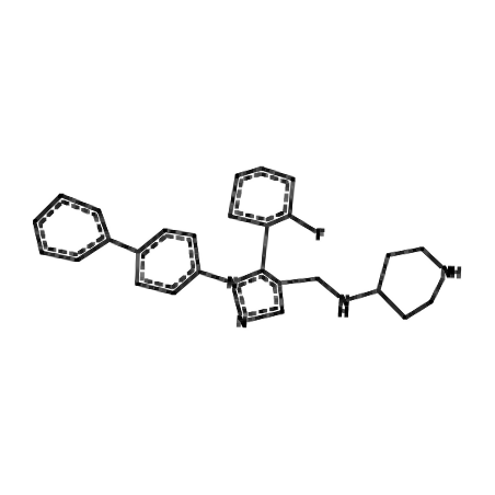 Fc1ccccc1-c1c(CNC2CCNCC2)cnn1-c1ccc(-c2ccccc2)cc1